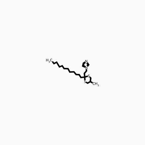 CCCCCCCCCCCCC1(CCn2ccnc2)SCC(C)CS1